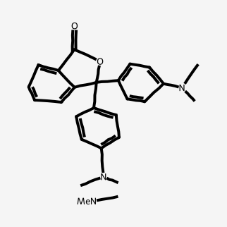 CN(C)c1ccc(C2(c3ccc(N(C)C)cc3)OC(=O)c3ccccc32)cc1.CNC